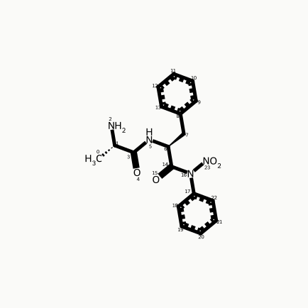 C[C@H](N)C(=O)N[C@@H](Cc1ccccc1)C(=O)N(c1ccccc1)[N+](=O)[O-]